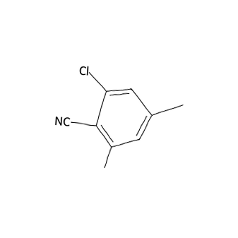 Cc1cc(C)c(C#N)c(Cl)c1